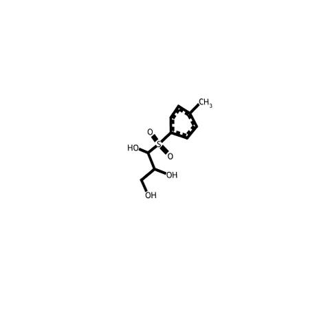 Cc1ccc(S(=O)(=O)C(O)C(O)CO)cc1